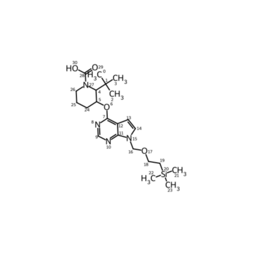 CC(C)(C)C1C(Oc2ncnc3c2ccn3COCC[Si](C)(C)C)CCCN1C(=O)O